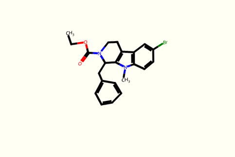 CCOC(=O)N1CCc2c(n(C)c3ccc(Br)cc23)C1Cc1ccccc1